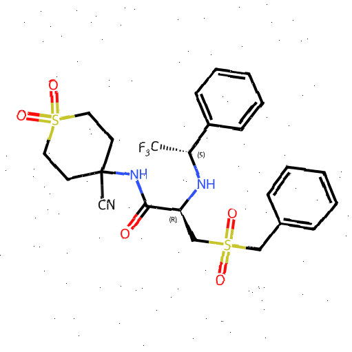 N#CC1(NC(=O)[C@H](CS(=O)(=O)Cc2ccccc2)N[C@@H](c2ccccc2)C(F)(F)F)CCS(=O)(=O)CC1